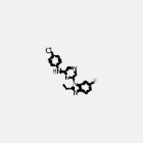 CCc1nc2ccc(F)cc2n1-c1cncc(Nc2ccc(Cl)cc2)n1